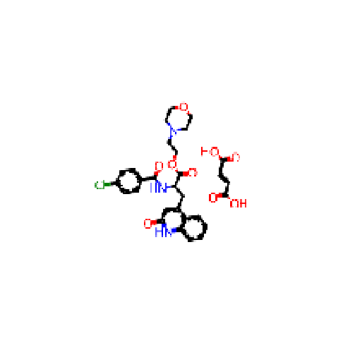 O=C(NC(Cc1cc(=O)[nH]c2ccccc12)C(=O)OCCN1CCOCC1)c1ccc(Cl)cc1.O=C(O)C=CC(=O)O